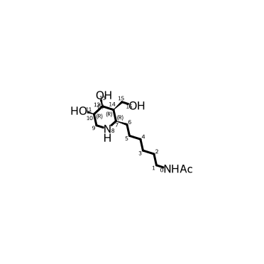 CC(=O)NCCCCCC[C@H]1NC[C@@H](O)[C@@H](O)[C@H]1CO